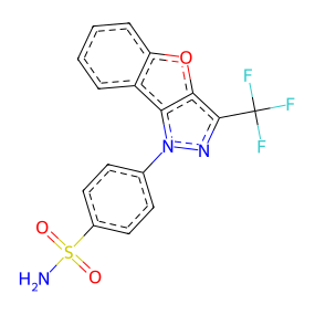 NS(=O)(=O)c1ccc(-n2nc(C(F)(F)F)c3oc4ccccc4c32)cc1